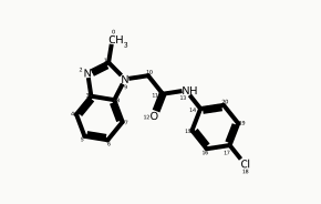 Cc1nc2ccccc2n1CC(=O)Nc1ccc(Cl)cc1